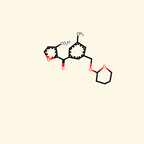 Cc1cc(COC2CCCCO2)cc(C(=O)c2occc2C(=O)O)c1